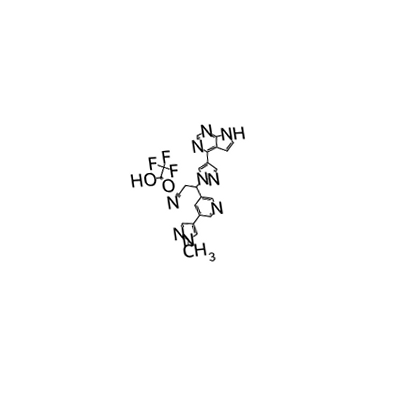 Cn1cc(-c2cncc(C(CC#N)n3cc(-c4ncnc5[nH]ccc45)cn3)c2)cn1.O=C(O)C(F)(F)F